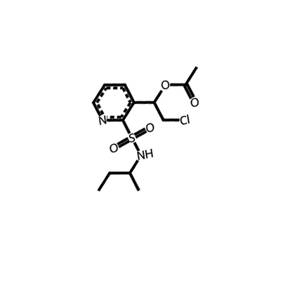 CCC(C)NS(=O)(=O)c1ncccc1C(CCl)OC(C)=O